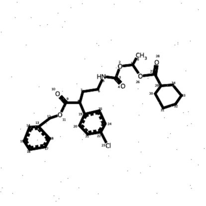 CC(OC(=O)NCCC(C(=O)OCc1ccccc1)c1ccc(Cl)cc1)OC(=O)C1CCCCC1